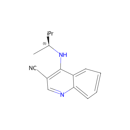 CC(C)[C@H](C)Nc1c(C#N)cnc2ccccc12